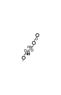 Cc1ccc(CNC(=O)NCC(=O)NCc2ccc(COc3ccccc3)cc2)cc1